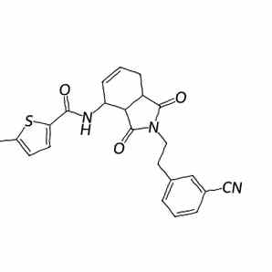 N#Cc1cccc(CCN2C(=O)C3CC=CC(NC(=O)c4ccc(Cl)s4)C3C2=O)c1